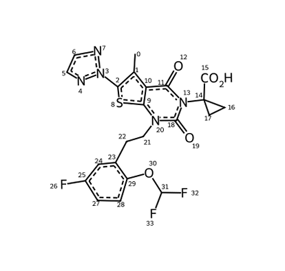 Cc1c(-n2nccn2)sc2c1c(=O)n(C1(C(=O)O)CC1)c(=O)n2CCc1cc(F)ccc1OC(F)F